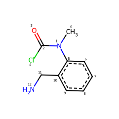 CN(C(=O)Cl)c1ccccc1CN